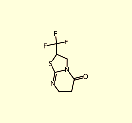 O=C1CCN=C2SC(C(F)(F)F)CN12